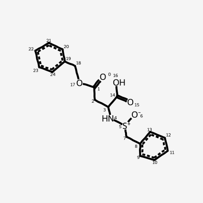 O=C(CC(N[S+]([O-])Cc1ccccc1)C(=O)O)OCc1ccccc1